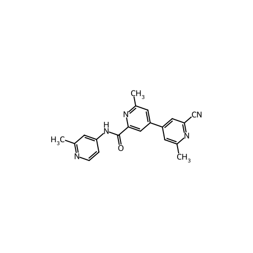 Cc1cc(NC(=O)c2cc(-c3cc(C)nc(C#N)c3)cc(C)n2)ccn1